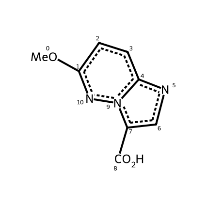 COc1ccc2ncc(C(=O)O)n2n1